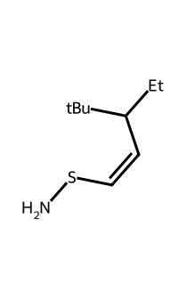 CCC(/C=C\SN)C(C)(C)C